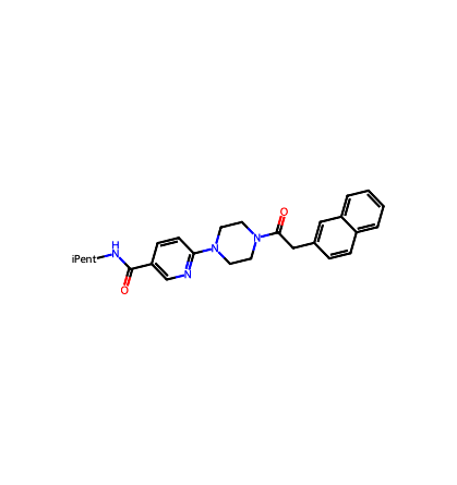 CCCC(C)NC(=O)c1ccc(N2CCN(C(=O)Cc3ccc4ccccc4c3)CC2)nc1